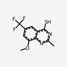 COc1cc(C(F)(F)F)cc2c(S)nc(C)nc12